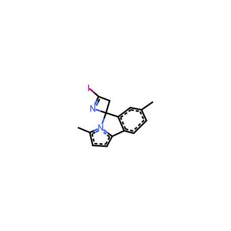 Cc1ccc2c(c1)C1(CC(I)=N1)n1c(C)ccc1-2